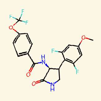 COc1cc(F)c(C2CNC(=O)[C@H]2NC(=O)c2ccc(OC(F)(F)F)cc2)c(F)c1